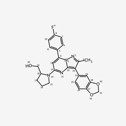 Cc1nn2c(-c3ccc(F)cc3)cc(N3CCCC3CO)nc2c1-c1ccc2c(c1)OCO2